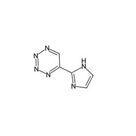 c1c[nH]c(-c2cnnnn2)n1